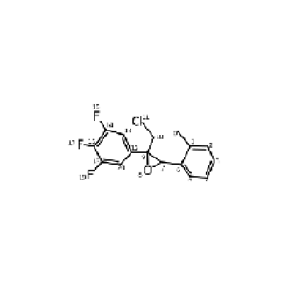 Cc1ccccc1C1OC1(CCl)c1cc(F)c(F)c(F)c1